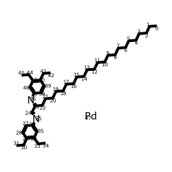 CCCCCCCCCCCCCCCCCCCCCCCC(/C=N/c1ccc(CC)c(CC)c1)=N\c1ccc(CC)c(CC)c1.[Pd]